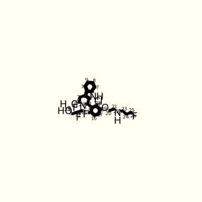 C[C@@H]1Cc2c([nH]c3ccccc23)C(c2c(F)ccc(OCCNCCCF)c2Cl)N1CC(F)(F)CO